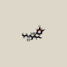 CC/C=C(NC(/C=C\C(C)C)=C/C(C)C)/C(C)=C/NCCC